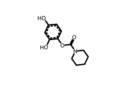 O=C(Oc1ccc(O)cc1O)N1CCCCC1